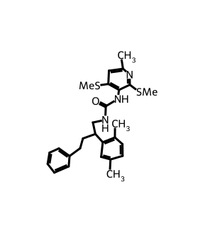 CSc1cc(C)nc(SC)c1NC(=O)NCC(CCc1ccccc1)c1cc(C)ccc1C